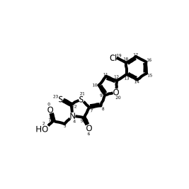 O=C(O)CN1C(=O)C(=Cc2ccc(-c3ccccc3Cl)o2)SC1=S